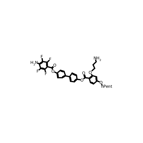 CCCCCOc1ccc(C(=O)Oc2ccc(-c3ccc(OC(=O)c4c(F)c(F)c(N)c(F)c4F)cc3)cc2)c(OCCCN)c1